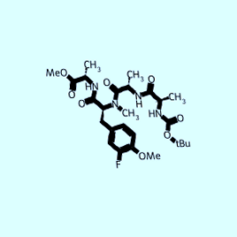 COC(=O)[C@H](C)NC(=O)[C@H](Cc1ccc(OC)c(F)c1)N(C)C(=O)[C@H](C)NC(=O)[C@@H](C)NC(=O)OC(C)(C)C